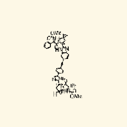 COC(=O)N[C@H](C(=O)N1[C@@H]2C[C@@H]2C[C@H]1c1ncc(-c2ccc(C#Cc3ccc4nc([C@@H]5CC6(CC6)CN5C(=O)[C@H](NC(=O)OC)c5ccccc5)[nH]c4c3)cc2)[nH]1)C(C)C